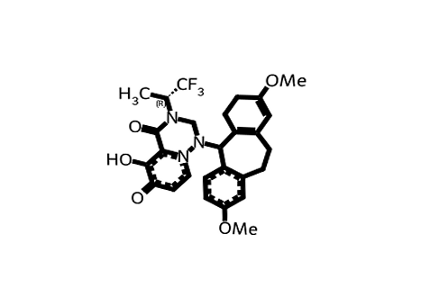 COC1=CC2=C(CC1)C(N1CN([C@H](C)C(F)(F)F)C(=O)c3c(O)c(=O)ccn31)c1ccc(OC)cc1CC2